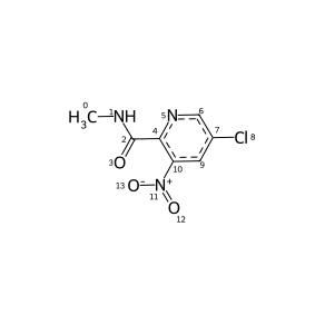 CNC(=O)c1ncc(Cl)cc1[N+](=O)[O-]